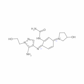 NC(=O)NC1=CC(=[N+]2\CCC(O)C2)/C=CC/1=N/c1cnn(CCO)c1N